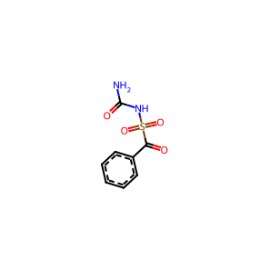 NC(=O)NS(=O)(=O)C(=O)c1ccccc1